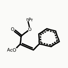 CCCOC(=O)C(=Cc1ccccc1)OC(C)=O